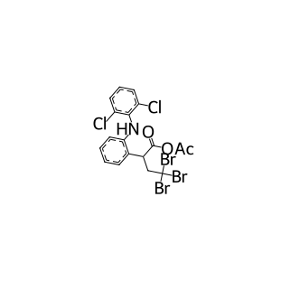 CC(=O)OC(=O)C(CC(Br)(Br)Br)c1ccccc1Nc1c(Cl)cccc1Cl